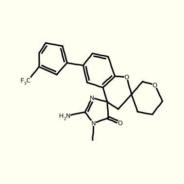 CN1C(=O)C2(CC3(CCCOC3)Oc3ccc(-c4cccc(C(F)(F)F)c4)cc32)N=C1N